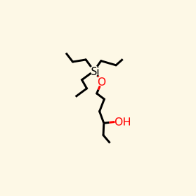 CCC[Si](CCC)(CCC)OCCCC(O)CC